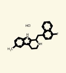 Cc1ccc2[nH]c3c(c2c1)CCNC3Cc1ccc(F)c2ccccc12.Cl